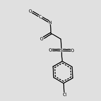 O=C=NC(=O)CS(=O)(=O)c1ccc(Cl)cc1